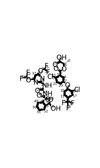 C[C@H](OC(=O)c1cc(Oc2ccc(C(F)(F)F)cc2Cl)ccc1Cl)C(=O)O.O=C(Nc1nc(OC(F)F)cc(OC(F)F)n1)NS(=O)(=O)c1ccccc1C(=O)O